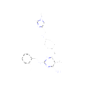 CCc1nc(CN[C@H]2CC[C@H](Cc3nc(NCc4ccccc4OC(F)(F)F)nc(N)c3[N+](=O)[O-])CC2)cn1CC